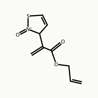 C=CCOC(=O)C(=C)C1C=CS[N+]1=O